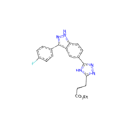 CCOC(=O)CCc1nnc(-c2ccc3[nH]nc(-c4ccc(F)cc4)c3c2)[nH]1